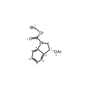 CC(=O)O[C@H]1CN(C(=O)OC(C)(C)C)c2ccccc21